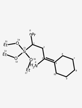 CCCC(CC(N)=C1CCCCC1)[Si](OCC)(OCC)OCC